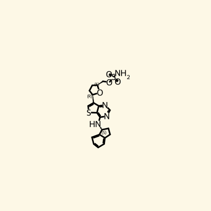 NS(=O)(=O)OC[C@@H]1CC[C@H](c2csc3c(N[C@H]4CCc5ccccc54)ncnc23)O1